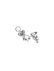 N[C@@H](CCCNS(=O)(=O)C1CCCCC1)C(=O)N1CCSC1